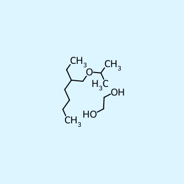 CCCCC(CC)COC(C)C.OCCO